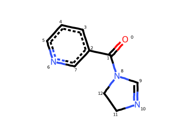 O=C(c1cccnc1)N1C=NCC1